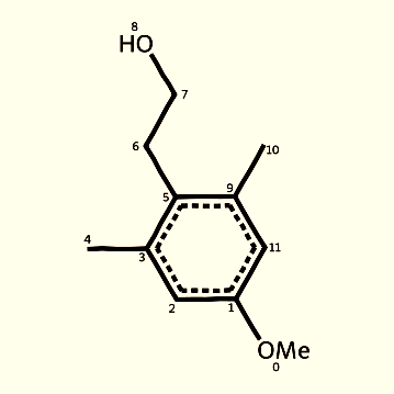 COc1cc(C)c(CCO)c(C)c1